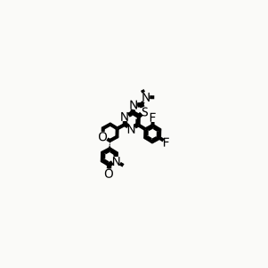 CN(C)c1nc2nc(C3CCO[C@@H](c4ccc(=O)n(C)c4)C3)nc(-c3ccc(F)cc3F)c2s1